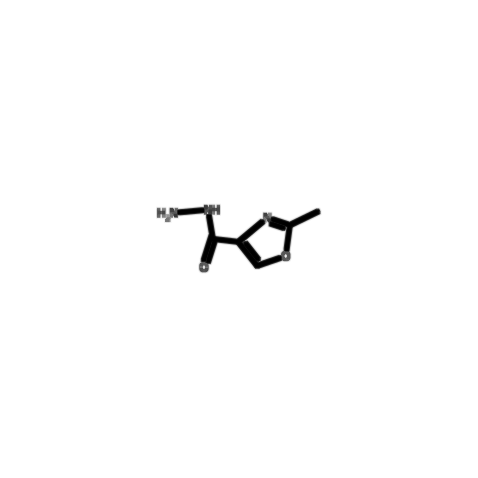 Cc1nc(C(=O)NN)co1